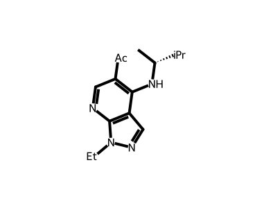 CCn1ncc2c(N[C@H](C)C(C)C)c(C(C)=O)cnc21